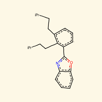 CC(C)CCc1cc[c]c(-c2nc3ccccc3o2)c1CCC(C)C